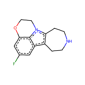 Fc1cc2c3c(c1)c1c(n3CCO2)CCNCC1